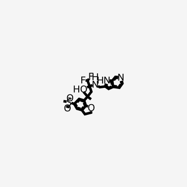 CC(C)(CC(O)(NCc1cc2ccncc2[nH]1)C(F)F)c1cc(S(C)(=O)=O)cc2c1OCC2